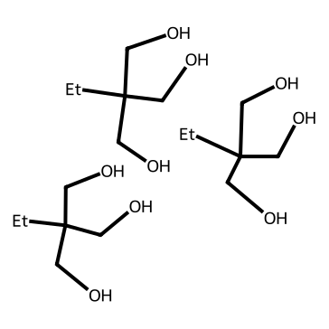 CCC(CO)(CO)CO.CCC(CO)(CO)CO.CCC(CO)(CO)CO